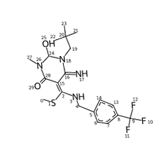 CS/C(NCc1ccc(C(F)(F)F)cc1)=C1/C(=N)N(CC(C)(C)C)C(O)N(C)C1=O